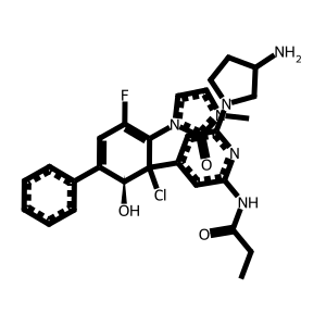 CCC(=O)Nc1cc(C2(Cl)C(n3ccn(C)c3=O)=C(F)C=C(c3ccccc3)[C@@H]2O)cc(N2CCC(N)C2)n1